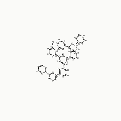 c1ccc(-c2cccc(-c3cccc(-c4nc(-c5ccccc5)nc(-c5cccc6oc7ccc(-c8cccc(-c9ccccc9)c8)cc7c56)n4)c3)c2)cc1